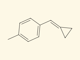 Cc1ccc(C=C2CC2)cc1